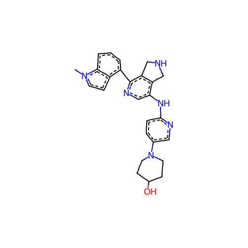 Cn1ccc2c(-c3ncc(Nc4ccc(N5CCC(O)CC5)cn4)c4c3CNC4)cccc21